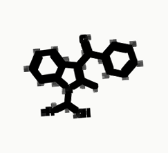 CCCC(O)n1c(C)c(C(=O)c2ccccc2)c2ccccc21